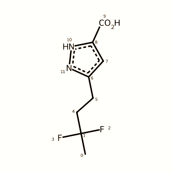 CC(F)(F)CCc1cc(C(=O)O)[nH]n1